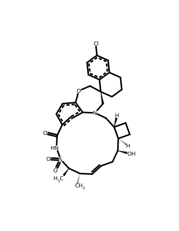 C[C@@H]1[C@@H](C)/C=C/C[C@H](O)[C@@H]2CC[C@H]2CN2C[C@@]3(CCCc4cc(Cl)ccc43)COc3ccc(cc32)C(=O)NS1(=O)=O